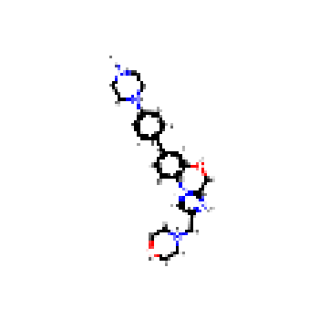 CC(C)N1CCN(c2ccc(-c3ccc4c(c3)OCc3nc(CN5CCOCC5)cn3-4)cc2)CC1